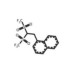 O=S(=O)(C(Cc1cccc2ccccc12)S(=O)(=O)C(F)(F)F)C(F)(F)F